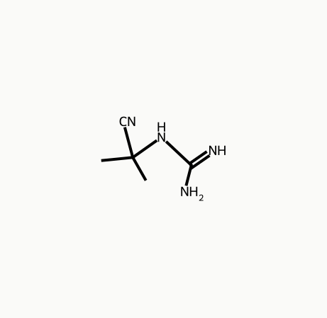 CC(C)(C#N)NC(=N)N